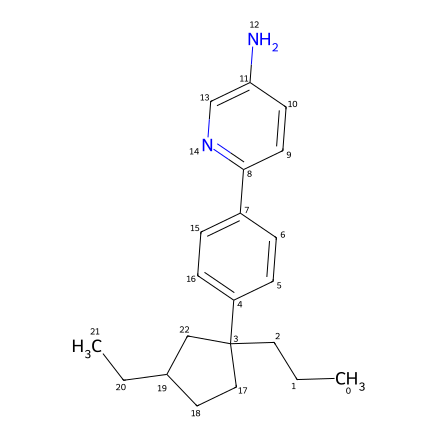 CCCC1(c2ccc(-c3ccc(N)cn3)cc2)CCC(CC)C1